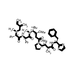 C=CC(=C)CN(C)[C@H](C(=O)N[C@H](C(=O)N(C)[C@@H]([C@@H](C)CC)[C@@H](CC(=O)N1CCC[C@H]1[C@H](OC)[C@@H](C)C(=O)N[C@@H](Cc1ccccc1)c1nccs1)OC)C(C)C)C(C)C